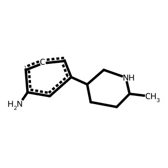 CC1CCC(c2cccc(N)c2)CN1